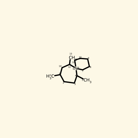 CC1CCC(C)[N+]2(CCCCC2)C(C)C1